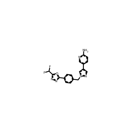 Nc1ccc(-c2cnn(Cc3ccc(-c4nnc(C(F)F)o4)cc3)c2)cn1